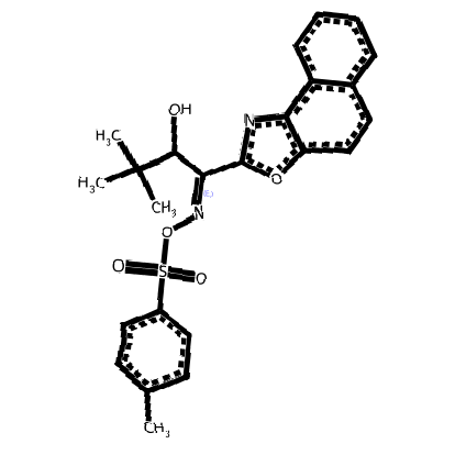 Cc1ccc(S(=O)(=O)O/N=C(/c2nc3c(ccc4ccccc43)o2)C(O)C(C)(C)C)cc1